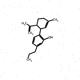 C=C(C)C1CCC(C)=CC1c1ccc(CCC)cc1O